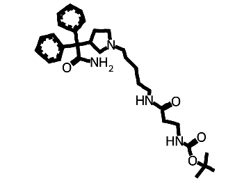 CC(C)(C)OC(=O)NCCC(=O)NCCCCCN1CCC(C(C(N)=O)(c2ccccc2)c2ccccc2)C1